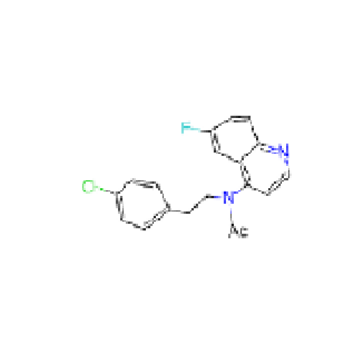 CC(=O)N(CCc1ccc(Cl)cc1)c1ccnc2ccc(F)cc12